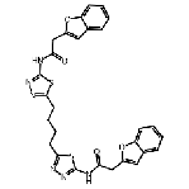 O=C(Cc1cc2ccccc2o1)Nc1nnc(CCCCc2nnc(NC(=O)Cc3cc4ccccc4o3)s2)s1